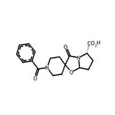 O=C(O)[C@@H]1CCC2OC3(CCN(C(=O)c4ccccc4)CC3)C(=O)N21